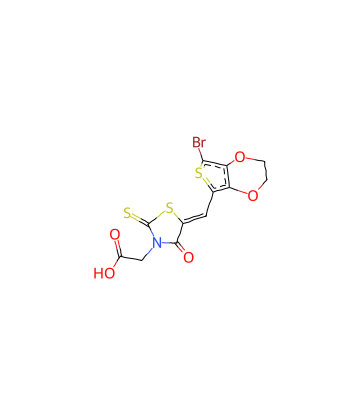 O=C(O)CN1C(=O)/C(=C/c2sc(Br)c3c2OCCO3)SC1=S